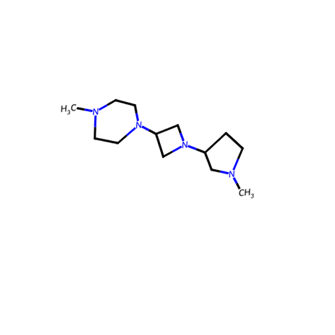 CN1CCN(C2CN(C3CCN(C)C3)C2)CC1